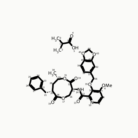 CC(C)C(=O)O.COc1ccnc(C(=O)N[C@H]2COC(=O)[C@H](Cc3ccccc3)C[C@H](C)OC2=O)c1OCc1ccc2c(c1)OCO2